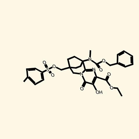 CCOC(=O)c1nc2n(c(=O)c1O)CC1(COS(=O)(=O)c3ccc(C)cc3)CCC2(N(C)C(=O)OCc2ccccc2)CC1